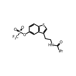 CC(C)C(=O)NCCc1csc2ccc(OS(=O)(=O)C(F)(F)F)cc12